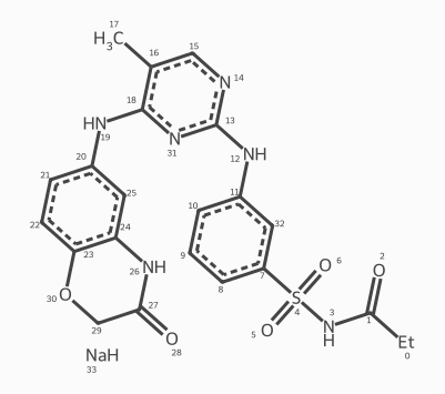 CCC(=O)NS(=O)(=O)c1cccc(Nc2ncc(C)c(Nc3ccc4c(c3)NC(=O)CO4)n2)c1.[NaH]